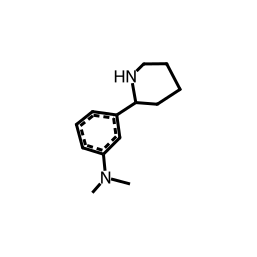 CN(C)c1cccc(C2CCCCN2)c1